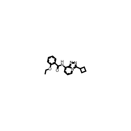 CCOc1ccccc1C(=O)Nc1cccn2c(C3CCC3)nnc12